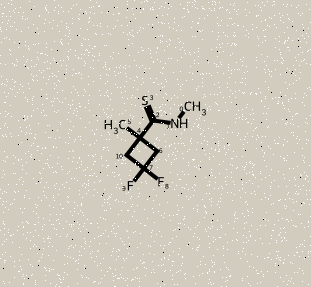 CNC(=S)C1(C)CC(F)(F)C1